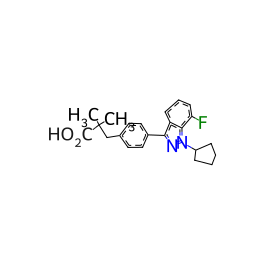 CC(C)(Cc1ccc(-c2nn(C3CCCC3)c3c(F)cccc23)cc1)C(=O)O